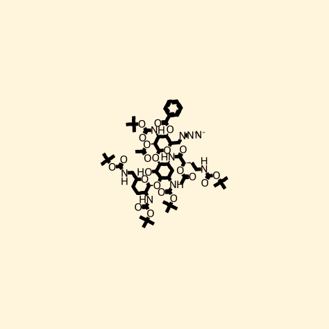 CC(=O)O[C@@H](CCNC(=O)OC(C)(C)C)C(=O)N[C@@H]1CC(NC(=O)OC(C)(C)C)C(O[C@H]2OC(CNC(=O)OC(C)(C)C)CCC2NC(=O)OC(C)(C)C)C(O)[C@H]1OC1OC(CN=[N+]=[N-])[C@@H](OC(=O)c2ccccc2)[C@H](NC(=O)OC(C)(C)C)[C@H]1OC(C)=O